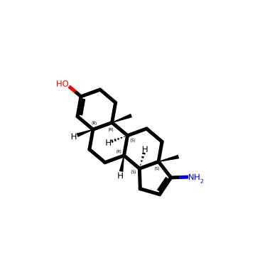 C[C@]12CCC(O)=C[C@H]1CC[C@@H]1[C@@H]2CC[C@]2(C)C(N)=CC[C@@H]12